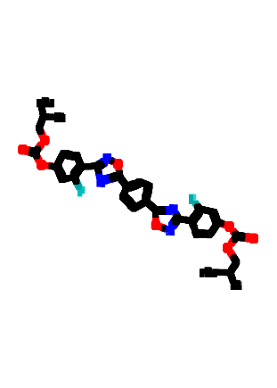 CCCCC(CC)COC(=O)Oc1ccc(-c2noc(-c3ccc(-c4nc(-c5ccc(OC(=O)OCC(CC)CCCC)cc5F)no4)cc3)n2)c(F)c1